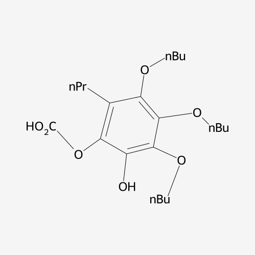 CCCCOc1c(O)c(OC(=O)O)c(CCC)c(OCCCC)c1OCCCC